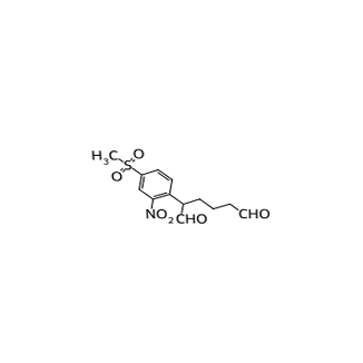 CS(=O)(=O)c1ccc(C(C=O)CCCC=O)c([N+](=O)[O-])c1